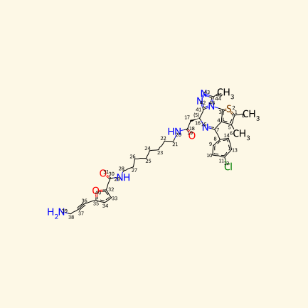 Cc1sc2c(c1C)C(c1ccc(Cl)cc1)=N[C@@H](CC(=O)NCCCCCCCCNC(=O)c1ccc(C#CCN)o1)c1nnc(C)n1-2